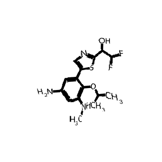 CNc1cc(N)cc(-c2cnc(C(O)C(F)F)s2)c1OC(C)C